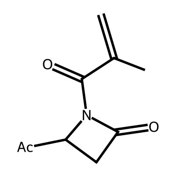 C=C(C)C(=O)N1C(=O)CC1C(C)=O